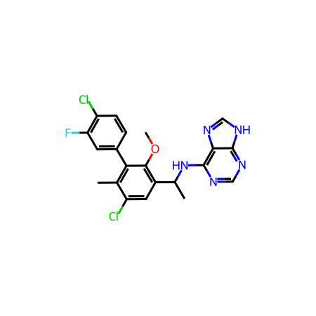 COc1c(C(C)Nc2ncnc3[nH]cnc23)cc(Cl)c(C)c1-c1ccc(Cl)c(F)c1